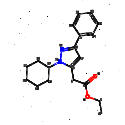 CCOC(=O)Cc1cc(-c2ccccc2)nn1C1CCCCC1